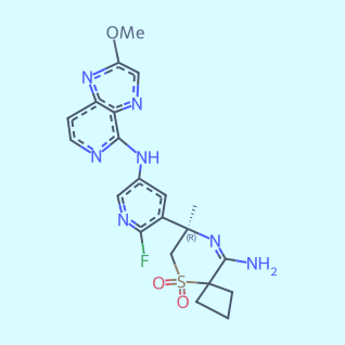 COc1cnc2c(Nc3cnc(F)c([C@]4(C)CS(=O)(=O)C5(CCC5)C(N)=N4)c3)nccc2n1